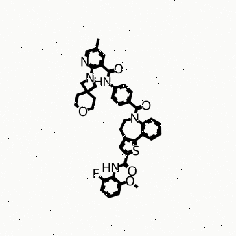 COc1cccc(F)c1NC(=O)c1cc2c(s1)-c1ccccc1N(C(=O)c1ccc(NC(=O)c3cc(C)cnc3N3CC4(CCOCC4)C3)cc1)CC2